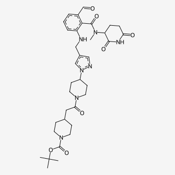 CN(C(=O)c1c(C=O)cccc1NCc1cnn(C2CCN(C(=O)CC3CCN(C(=O)OC(C)(C)C)CC3)CC2)c1)C1CCC(=O)NC1=O